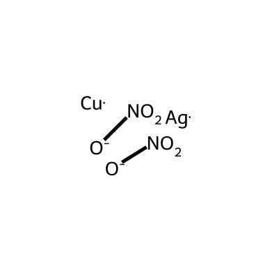 O=[N+]([O-])[O-].O=[N+]([O-])[O-].[Ag].[Cu]